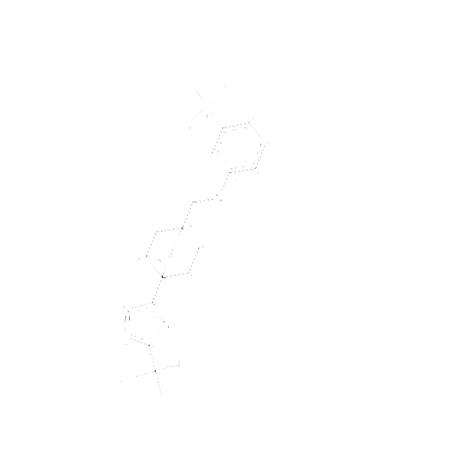 CC(F)(F)c1nc(C23CCC(CNc4cccc(P(C)(C)=O)c4)(CC2)CC3)no1